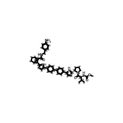 COC(=O)N[C@H](C(=O)N1CCC[C@H]1c1ncc(-c2ccc(-c3ccc(-c4cnc(C5C6CCC(C6)C5C(=O)NCc5ccc(N)cc5)[nH]4)cc3)cc2)[nH]1)C(C)C